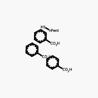 CCCCCS.O=C(O)c1ccccc1.O=C(O)c1ccccc1.O=C(O)c1ccccc1